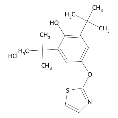 CC(C)(C)c1cc(Oc2nccs2)cc(C(C)(C)C)c1O.Cl